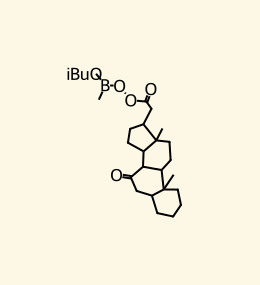 CB(OCC(C)C)OOC(=O)CC1CCC2C3C(=O)CC4CCCCC4(C)C3CCC12C